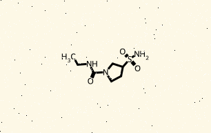 CCNC(=O)N1CCC(S(N)(=O)=O)C1